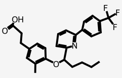 CCCCC(Oc1ccc(CCC(=O)O)cc1C)c1cccc(-c2ccc(C(F)(F)F)cc2)n1